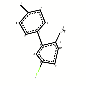 Cc1ccc(-c2cc(F)ccc2C(C)C)cc1